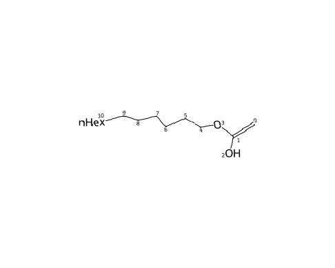 C=C(O)OCCCCCCCCCCCC